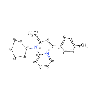 C=C(/C=C/c1ccc(C)cc1)N(c1ccccn1)C1CCCCC1